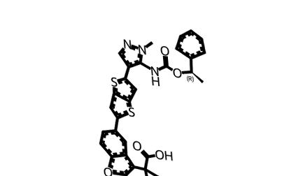 C[C@@H](OC(=O)Nc1c(-c2cc3sc(-c4ccc5occ(C6(C(=O)O)CC6)c5c4)cc3s2)cnn1C)c1ccccc1